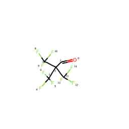 O=[C]C(C(F)(F)F)(C(F)(F)F)C(F)(F)F